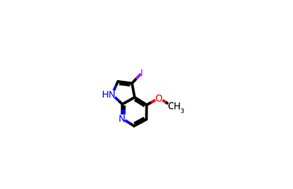 COc1ccnc2[nH]cc(I)c12